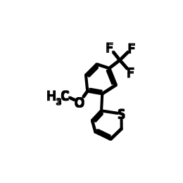 COc1ccc(C(F)(F)F)cc1C1=CC=CCS1